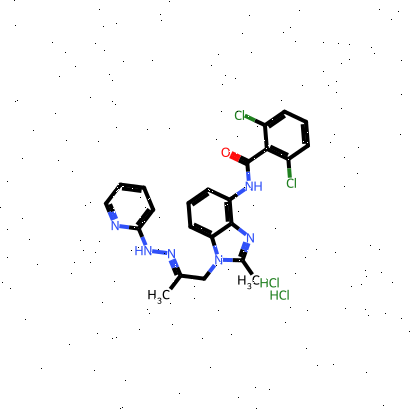 CC(Cn1c(C)nc2c(NC(=O)c3c(Cl)cccc3Cl)cccc21)=NNc1ccccn1.Cl.Cl